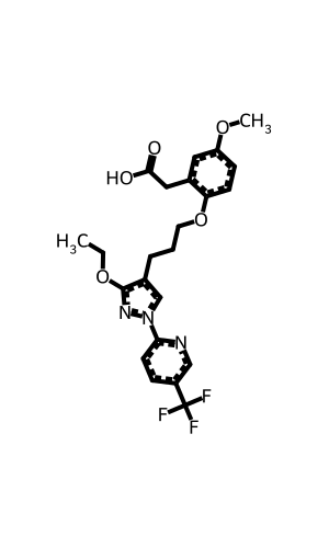 CCOc1nn(-c2ccc(C(F)(F)F)cn2)cc1CCCOc1ccc(OC)cc1CC(=O)O